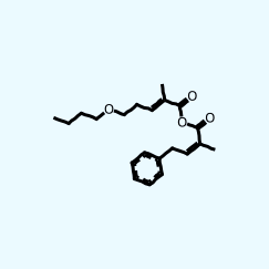 CCCCOCCC=C(C)C(=O)OC(=O)C(C)=CCc1ccccc1